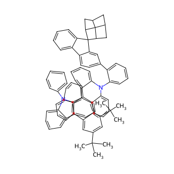 CC(C)(C)c1cc(-c2cccc3cccc(-c4ccccc4N(c4ccccc4-c4ccc5c(c4)C4(c6ccccc6-5)C5CC6CC7CC4C675)c4ccccc4-c4cccc5c6ccccc6n(-c6ccccc6)c45)c23)cc(C(C)(C)C)c1